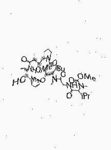 CC[C@H](C)[C@@H]([C@@H](CC(=O)N1CCC[C@H]1[C@H](OC)[C@@H](C)C(=O)N[C@H](C)[C@@H](O)c1ccccc1)OC)N(C)C(=O)CNC(=O)C(C(C)C)N(C)C(=O)OC